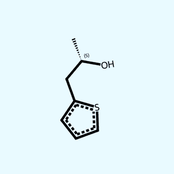 C[C@H](O)Cc1cccs1